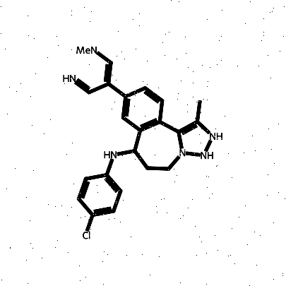 CN/C=C(\C=N)c1ccc2c(c1)C(Nc1ccc(Cl)cc1)CCN1NNC(C)=C21